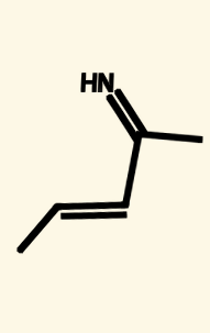 CC=CC(C)=N